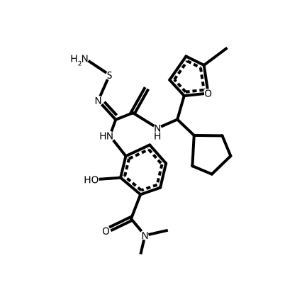 C=C(NC(c1ccc(C)o1)C1CCCC1)/C(=N\SN)Nc1cccc(C(=O)N(C)C)c1O